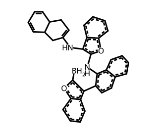 Bc1oc2ccccc2c1-c1ccc2ccccc2c1Nc1oc2ccccc2c1NC1=CCC2C=CC=CC2C1